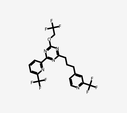 FC(F)(F)COc1nc(CCCc2ccnc(C(F)(F)F)c2)nc(-c2cccc(C(F)(F)F)n2)n1